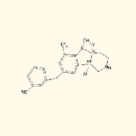 CN1c2c(cc(Cc3cccc(C#N)c3)cc2C(F)(F)F)[C@@H]2CNCC[C@@H]21